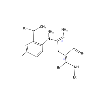 CCN/C(Br)=C(\C=N)C/C(=C/N)N(N)c1ccc(F)cc1C(C)O